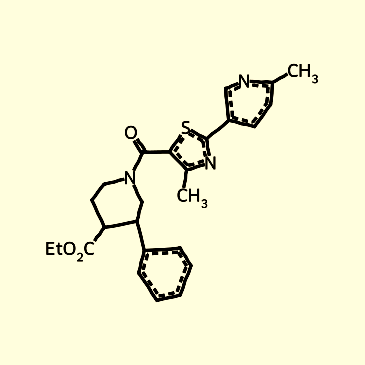 CCOC(=O)C1CCN(C(=O)c2sc(-c3ccc(C)nc3)nc2C)CC1c1ccccc1